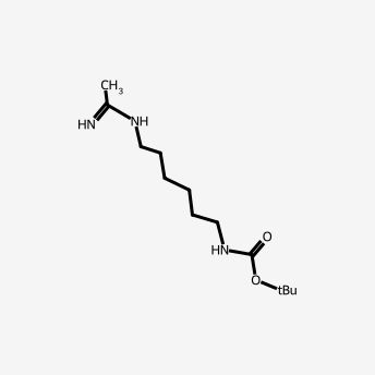 CC(=N)NCCCCCCNC(=O)OC(C)(C)C